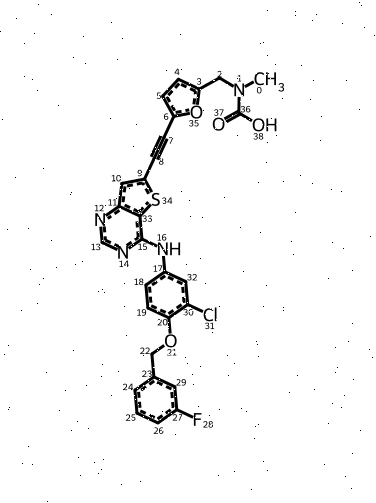 CN(Cc1ccc(C#Cc2cc3ncnc(Nc4ccc(OCc5cccc(F)c5)c(Cl)c4)c3s2)o1)C(=O)O